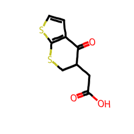 O=C(O)CC1CSc2sccc2C1=O